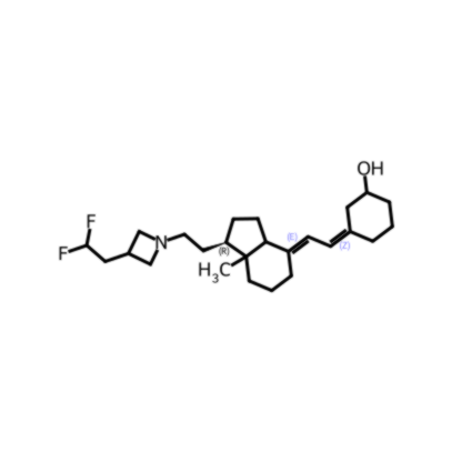 CC12CCC/C(=C\C=C3\CCCC(O)C3)C1CC[C@@H]2CCN1CC(CC(F)F)C1